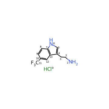 Cl.NCCc1c[nH]c2ccc(C(F)(F)F)cc12